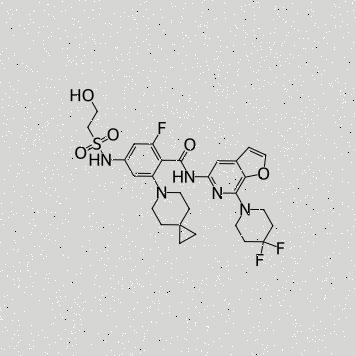 O=C(Nc1cc2ccoc2c(N2CCC(F)(F)CC2)n1)c1c(F)cc(NS(=O)(=O)CCO)cc1N1CCC2(CC1)CC2